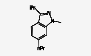 CCCc1ccc2c(C(C)C)nn(C)c2c1